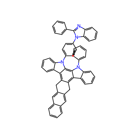 c1ccc(-c2nc3ccccc3n2-c2ccc(-n3c4ccccc4c4c5c(c6c7ccccc7n(-c7ccccc7)c6c43)Cc3cc4ccccc4cc3C5)cc2)cc1